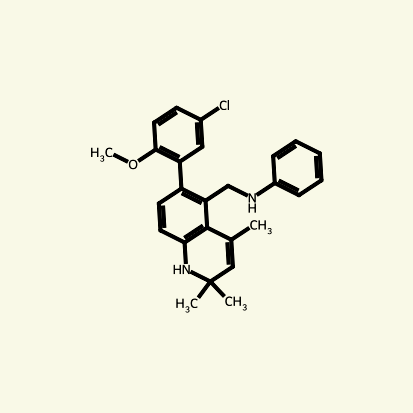 COc1ccc(Cl)cc1-c1ccc2c(c1CNc1ccccc1)C(C)=CC(C)(C)N2